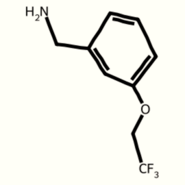 NCc1cccc(OCC(F)(F)F)c1